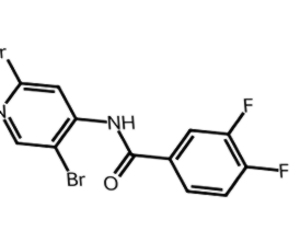 O=C(Nc1cc(Br)ncc1Br)c1ccc(F)c(F)c1